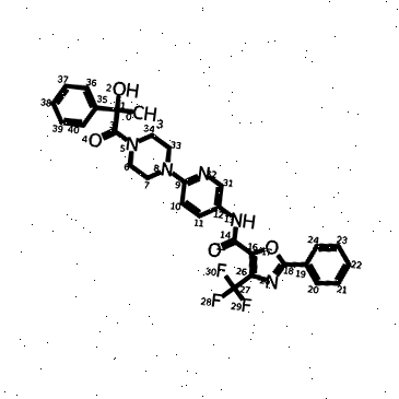 CC(O)(C(=O)N1CCN(c2ccc(NC(=O)c3oc(-c4ccccc4)nc3C(F)(F)F)cn2)CC1)c1ccccc1